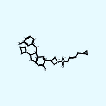 O=S(=O)(CC=CCC1CC1)N1CC(c2cc3c(cc2F)CC(N2CCC2)C3Cc2cccc(Cl)c2)C1